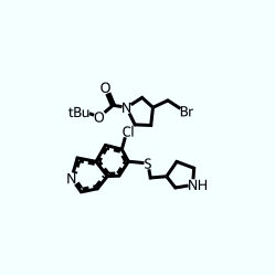 CC(C)(C)OC(=O)N1CCC(CBr)C1.Clc1cc2cnccc2cc1SCC1CCNC1